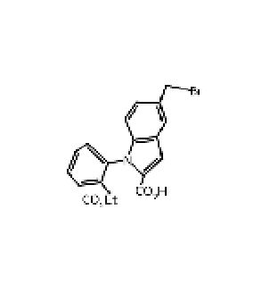 CCOC(=O)c1ccccc1-n1c(C(=O)O)cc2cc(CBr)ccc21